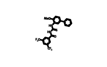 COc1ccc(-c2ccccc2)cc1NC(=S)NC(=O)c1cc(C(F)(F)F)cc(C(F)(F)F)c1